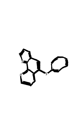 c1ccc(Sc2cc3cccnc3c3ncccc23)cc1